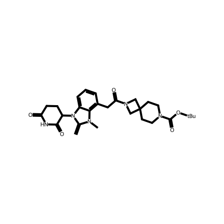 C=C1N(C)c2c(CC(=O)N3CC4(CCN(C(=O)OC(C)(C)C)CC4)C3)cccc2N1C1CCC(=O)NC1=O